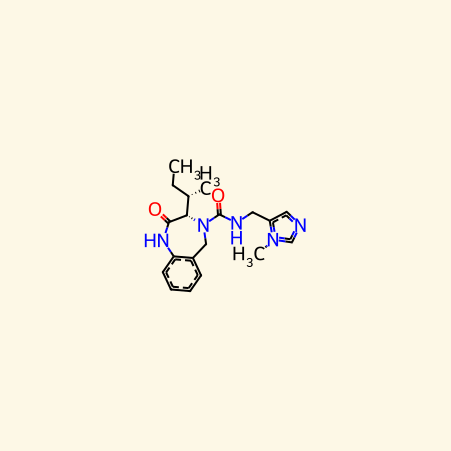 CC[C@H](C)[C@H]1C(=O)Nc2ccccc2CN1C(=O)NCc1cncn1C